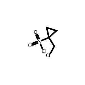 O=S(=O)(Cl)C1(CCl)CC1